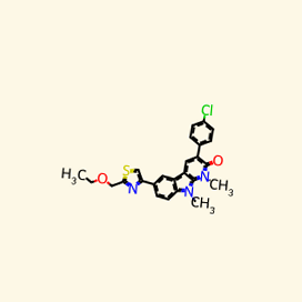 CCOCc1nc(-c2ccc3c(c2)c2cc(-c4ccc(Cl)cc4)c(=O)n(C)c2n3C)cs1